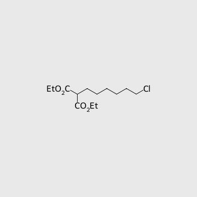 CCOC(=O)C(CCCCCCCl)C(=O)OCC